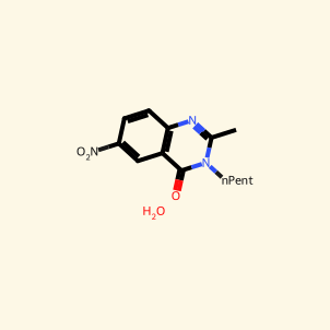 CCCCCn1c(C)nc2ccc([N+](=O)[O-])cc2c1=O.O